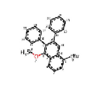 CC(C)(C)c1cccc2c(O[SiH3])c(-c3ccccc3)c(-c3ccccc3)cc12